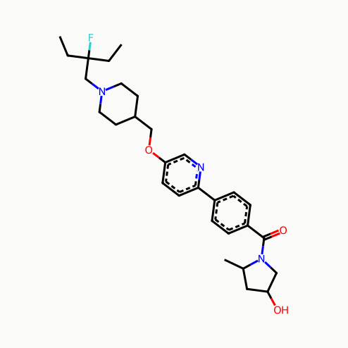 CCC(F)(CC)CN1CCC(COc2ccc(-c3ccc(C(=O)N4CC(O)CC4C)cc3)nc2)CC1